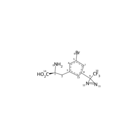 N[C@@H](Cc1cc(Br)cc(C2(C(F)(F)F)N=N2)c1)C(=O)O